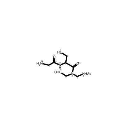 CC(=O)NCN(C[C]=O)C(=O)C(CS)NC(=O)CN